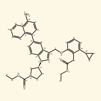 CCOC(=O)Cc1c(OCc2nn([C@H]3CCN(C(=O)OCC)C3)c3ccc(-c4ccc(N)c5cnccc45)cc23)cccc1C1CC1